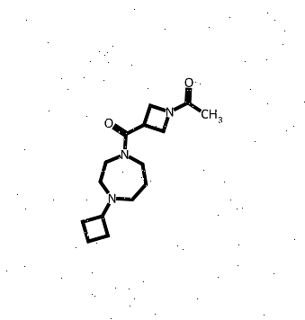 CC(=O)N1CC(C(=O)N2CCCN(C3CCC3)CC2)C1